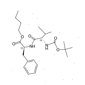 CCCCOC(=O)[C@H](Cc1ccccc1)NC(=O)[C@@H](NC(=O)OC(C)(C)C)C(C)C